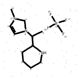 CC(C1CCCCN1)N1C=CN(C)C1.F[B-](F)(F)F